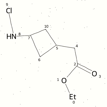 CCOC(=O)CC1CC(NCl)C1